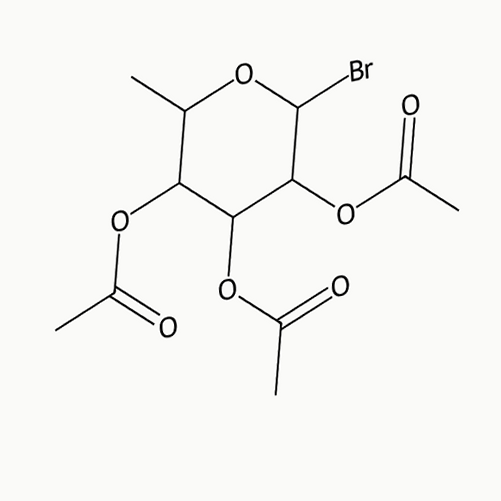 CC(=O)OC1C(C)OC(Br)C(OC(C)=O)C1OC(C)=O